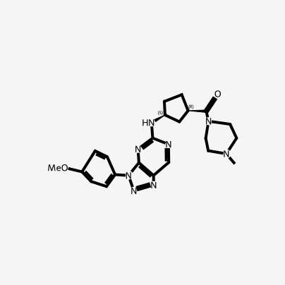 COc1ccc(-n2nnc3cnc(N[C@H]4CC[C@@H](C(=O)N5CCN(C)CC5)C4)nc32)cc1